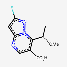 CO[C@@H](C)c1c(C(=O)O)cnc2cc(F)nn12